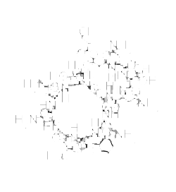 CCCC(=O)OC(C)CC(=O)N[C@@H](CCN)C(=O)N[C@H](C(=O)N[C@@H](CCN)C(=O)N[C@H]1CCNC(=O)[C@H](C(C)O)NC(=O)[C@H](CCN)NC(=O)[C@H](CCN)NC(=O)[C@H](CC(C)C)NC(=O)[C@@H](Cc2ccccc2)NC(=O)[C@H](CCN)NC1)C(C)O